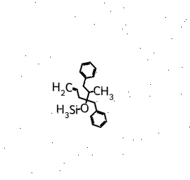 C=CCC(Cc1ccccc1)(O[SiH3])C(C)Cc1ccccc1